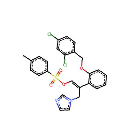 Cc1ccc(S(=O)(=O)OC=C(Cn2ccnc2)c2ccccc2OCc2ccc(Cl)cc2Cl)cc1